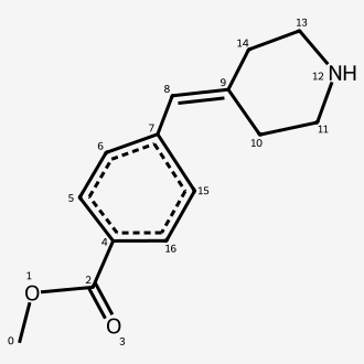 COC(=O)c1ccc(C=C2CCNCC2)cc1